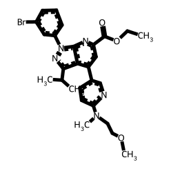 CCOC(=O)c1cc(-c2ccc(N(C)CCOC)nc2)c2c(C(C)C)nn(-c3cccc(Br)c3)c2n1